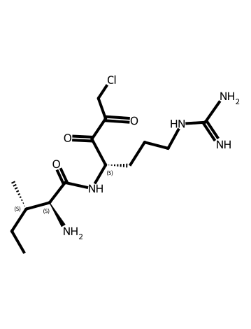 CC[C@H](C)[C@H](N)C(=O)N[C@@H](CCCNC(=N)N)C(=O)C(=O)CCl